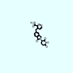 NC(=O)c1nnccc1Cc1ccc2c(c1)CN(C1CCC(=O)NC1=O)C2=O